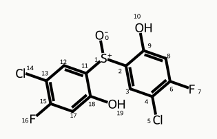 [O-][S+](c1cc(Cl)c(F)cc1O)c1cc(Cl)c(F)cc1O